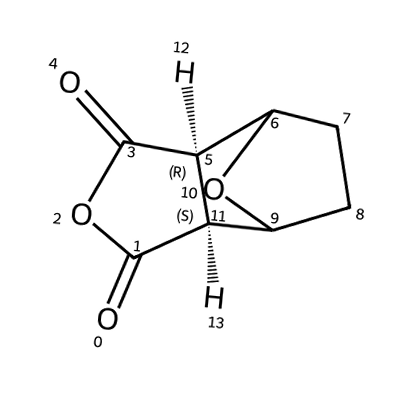 O=C1OC(=O)[C@H]2C3CCC(O3)[C@@H]12